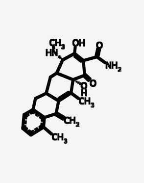 C=C1C2=C(C)[C@]3(O)C(=O)C(C(N)=O)=C(O)[C@@H](NC)C3CC2Cc2cccc(C)c21